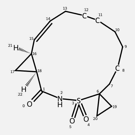 O=C1NS(=O)(=O)C2(CCCCCCC/C=C\[C@@H]3C[C@H]13)CC2